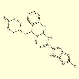 O=C1OCC(CN2C(=O)C(NC(=O)c3cc4cc(Cl)sc4[nH]3)Cc3ccccc32)CO1